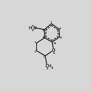 CC1CCc2c(N)cccc2O1